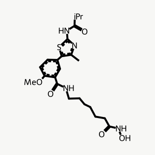 COc1ccc(-c2sc(NC(=O)C(C)C)nc2C)cc1C(=O)NCCCCCCC(=O)NO